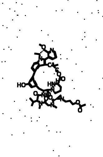 CCn1c(-c2cccnc2[C@H](C)OC)c2c3cc(ccc31)-c1cc(O)cc(c1)C[C@H](NC(=O)C(C(C)C)N(C)C(=O)CN(C)C(=O)[C@H]1CN1CCCOC(C)=O)C(=O)N1CCC[C@H](N1)C(=O)OCC(C)(C)C2